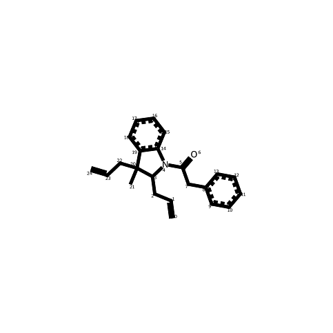 C=CCC1N(C(=O)Cc2ccccc2)c2ccccc2C1(C)CC=C